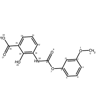 COc1cccc(OC(=O)Nc2cccc(C(=O)O)c2O)c1